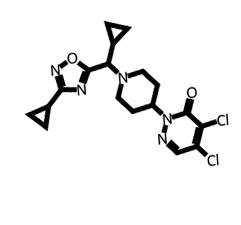 O=c1c(Cl)c(Cl)cnn1C1CCN(C(c2nc(C3CC3)no2)C2CC2)CC1